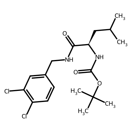 CC(C)C[C@@H](NC(=O)OC(C)(C)C)C(=O)NCc1ccc(Cl)c(Cl)c1